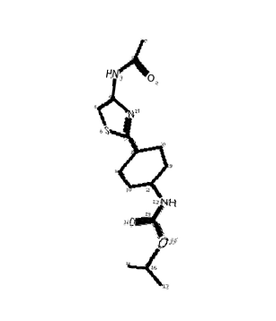 CC(=O)NC1CSC(C2CCC(NC(=O)OC(C)C)CC2)=N1